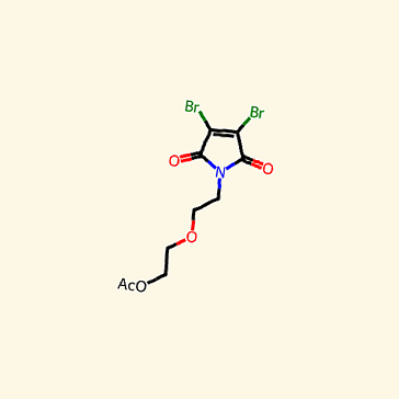 CC(=O)OCCOCCN1C(=O)C(Br)=C(Br)C1=O